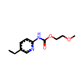 CCc1ccc(NC(=O)OCCOC)nc1